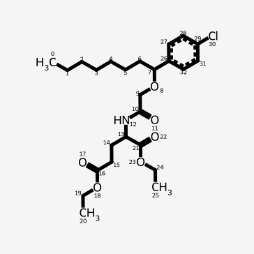 CCCCCCCC(OCC(=O)NC(CCC(=O)OCC)C(=O)OCC)c1ccc(Cl)cc1